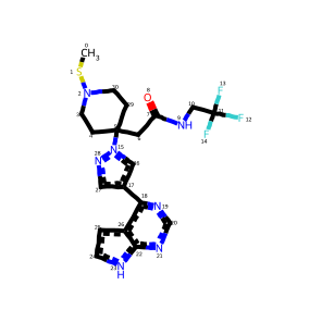 CSN1CCC(CC(=O)NCC(F)(F)F)(n2cc(-c3ncnc4[nH]ccc34)cn2)CC1